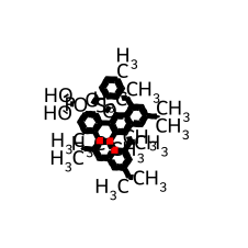 Cc1ccc(S(=O)(=O)c2c(OP(O)O)ccc(-c3cc4c(C(C)C)cc(C(C)C)cc4cc3C(C)C)c2-c2cc3c(C(C)C)cc(C(C)C)cc3cc2C(C)C)cc1